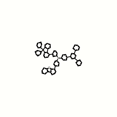 c1ccc(-c2cc(-c3ccccc3)cc(-c3ccc(N(c4ccc(-c5cccc6c5oc5ccccc56)cc4)c4cccc(-c5cccc6c5-c5ccccc5C6(c5ccccc5)c5ccccc5)c4)cc3)c2)cc1